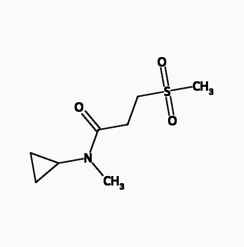 CN(C(=O)CCS(C)(=O)=O)C1CC1